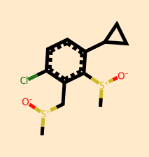 C[S+]([O-])Cc1c(Cl)ccc(C2[CH]C2)c1[S+](C)[O-]